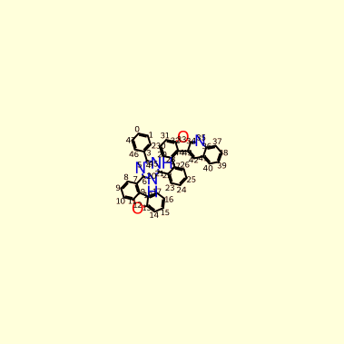 c1ccc(C2=NC(c3cccc4oc5ccccc5c34)NC(c3ccccc3-c3cccc4oc5nc6ccccc6cc5c34)N2)cc1